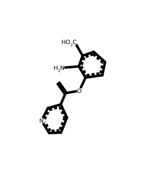 C=C(Oc1cccc(C(=O)O)c1N)c1cccnc1